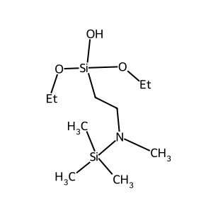 CCO[Si](O)(CCN(C)[Si](C)(C)C)OCC